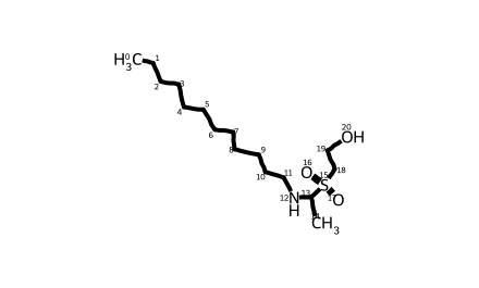 CCCCCCCCCCCCNC(C)S(=O)(=O)CCO